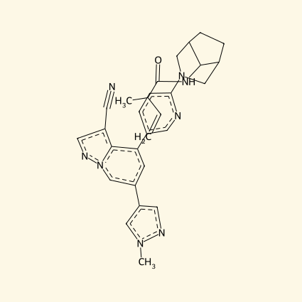 C=CC(C)C(=O)NC1C2CCC1CN(c1ccc(-c3cc(-c4cnn(C)c4)cn4ncc(C#N)c34)cn1)C2